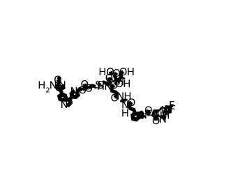 COc1ncc(-c2ccc3nccc(-c4ccc(COC(=O)OCCSSCC(NC(=O)CCC(=O)NCCNC(=O)CCc5cccc6c5CN(C(=O)C[C@@H]5C[C@@H](CN7CC(F)(F)C[C@H]7C#N)NC5=O)C6)C(=O)N[C@@H]5[C@@H](O)[C@H](C)C(O)O[C@H]5CO)nc4)c3c2)cc1N